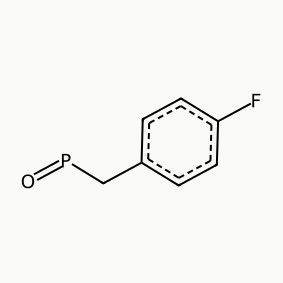 O=PCc1ccc(F)cc1